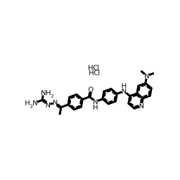 C/C(=N\N=C(N)N)c1ccc(C(=O)Nc2ccc(Nc3ccnc4ccc(N(C)C)cc34)cc2)cc1.Cl.Cl